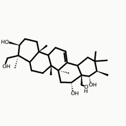 C[C@H]1[C@H](O)[C@@]2(CO)C(CC1(C)C)C1=CCC3[C@@]4(C)CC[C@H](O)[C@](C)(CO)C4CC[C@@]3(C)[C@]1(C)C[C@H]2O